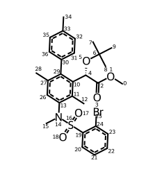 COC(=O)[C@@H](OC(C)(C)C)c1c(C)c(N(C)S(=O)(=O)c2ccccc2Br)cc(C)c1-c1ccc(C)cc1